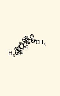 CCOC(=O)c1noc(-c2ccc(S(C)(=O)=O)cc2F)n1